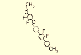 C=CCOc1ccc(OCC2CCC(c3ccc(-c4ccc(C)cc4)c(F)c3F)CC2)c(F)c1F